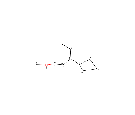 CCC(C=COC)C1CCC1